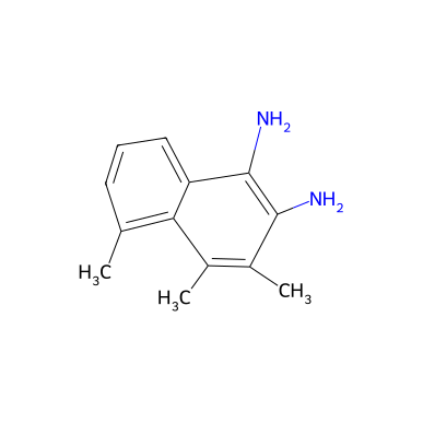 Cc1c(N)c(N)c2cccc(C)c2c1C